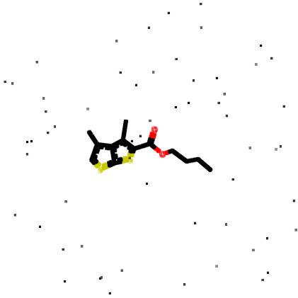 CCCCOC(=O)c1sc2scc(C)c2c1C